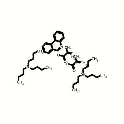 C=C(C)C(=O)[O-].C=C(C)C(=O)[O-].CCC[CH2][Sn+]([CH2]CCC)[CH2]CCC.CCC[CH2][Sn+]([CH2]CCC)[CH2]CCC.c1ccc2c(c1)cnc1ccccc12